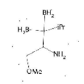 BC(B)(C(C)C)C(N)COC